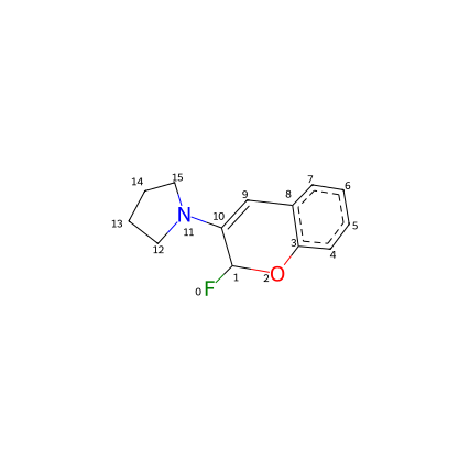 FC1Oc2ccccc2C=C1N1CCCC1